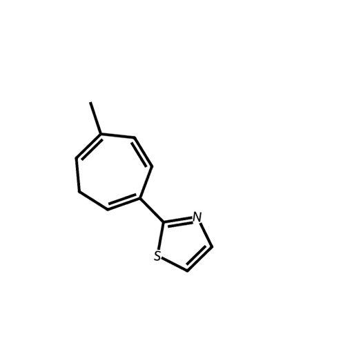 CC1=CCC=C(c2nccs2)C=C1